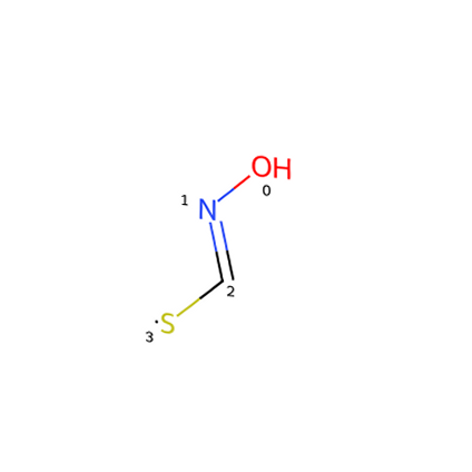 ON=C[S]